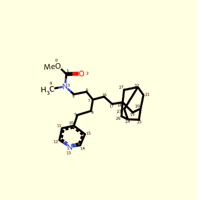 COC(=O)N(C)CCC(C[CH]c1ccncc1)CCC12CC3CC(CC(C3)C1)C2